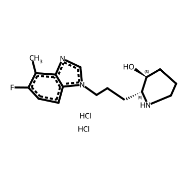 Cc1c(F)ccc2c1ncn2CCC[C@H]1NCCC[C@@H]1O.Cl.Cl